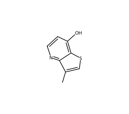 Cc1csc2c(O)ccnc12